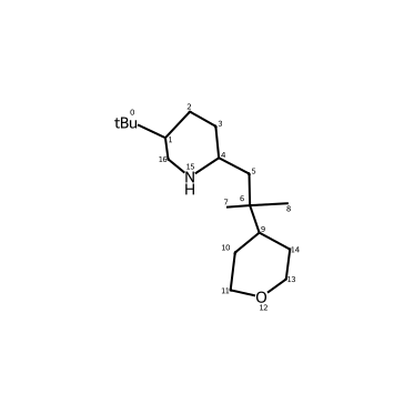 CC(C)(C)C1CCC(CC(C)(C)C2CCOCC2)NC1